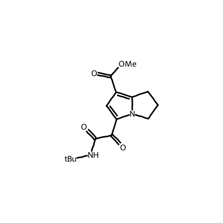 COC(=O)c1cc(C(=O)C(=O)NC(C)(C)C)n2c1CCC2